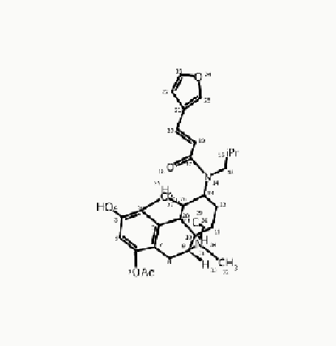 CC(=O)Oc1cc(O)c2c3c1C[C@@H]1[C@@H]4CC[C@H](N(CC(C)C)C(=O)/C=C/c5ccoc5)[C@H](O2)[C@]34CCN1C